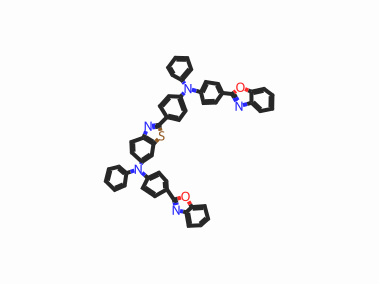 c1ccc(N(c2ccc(-c3nc4ccccc4o3)cc2)c2ccc(-c3nc4ccc(N(c5ccccc5)c5ccc(-c6nc7ccccc7o6)cc5)cc4s3)cc2)cc1